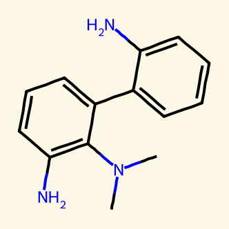 CN(C)c1c(N)cccc1-c1ccccc1N